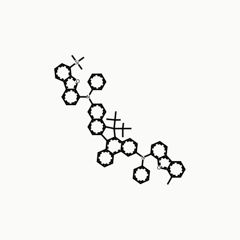 Cc1cccc2c1oc1c(N(c3ccccc3)c3ccc4c5c(c6ccccc6c4c3)-c3ccc4cc(N(c6ccccc6)c6cccc7c6oc6c([Si](C)(C)C)cccc67)ccc4c3C5(C(C)(C)C)C(C)(C)C)cccc12